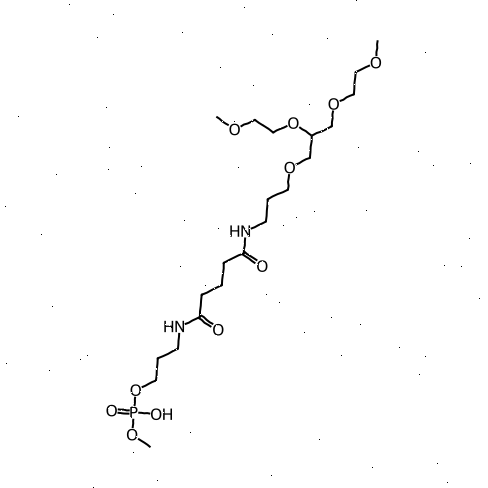 COCCOCC(COCCCNC(=O)CCCC(=O)NCCCOP(=O)(O)OC)OCCOC